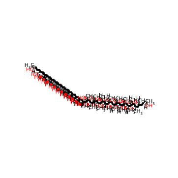 C[SiH](O)CCCC(CC(CC(CC(CC(CC(CC(CC(CC(CC(CC(CC(CC(CC(CC(CC(CC(CC(CC(CC(CC(CC(CC(CC(CC(CC(CC(CC(CC[SiH](C)O)[SiH](C)O)[SiH](C)O)[SiH](C)O)[SiH](C)O)[SiH](C)O)[SiH](C)O)[SiH](C)O)[SiH](C)O)[SiH](C)O)[SiH](C)O)[SiH](C)O)[SiH](C)O)[SiH](C)O)[SiH](C)O)[SiH](C)O)[SiH](C)O)[SiH](C)O)[SiH](C)O)[SiH](C)O)[SiH](C)O)[SiH](C)O)[SiH](C)O)[SiH](C)O)[SiH](C)O)[SiH](C)O)[SiH](C)O)[SiH](C)O)[SiH](C)O